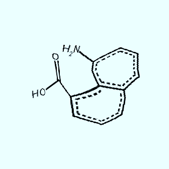 Nc1cccc2cccc(C(=O)O)c12